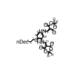 CCCCCCCCCCCCOc1ccc(NC=C2C(=O)OC(C)(C)OC2=O)cc1NC=C1C(=O)OC(C)(C)OC1=O